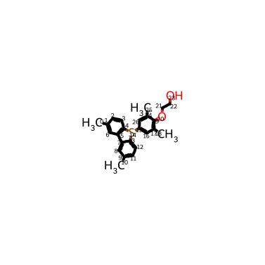 Cc1ccc2c(c1)c1cc(C)ccc1[s+]2-c1cc(C)c(OCCO)c(C)c1